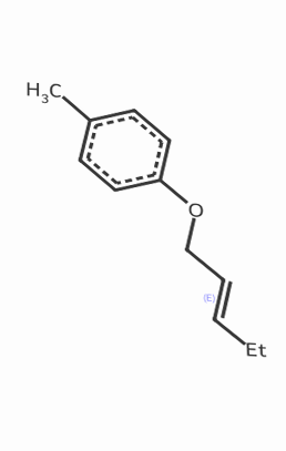 CC/C=C/COc1ccc(C)cc1